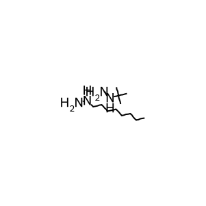 CC(C)(C)NN.CCCCCCCCNN